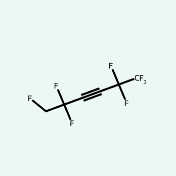 FCC(F)(F)C#CC(F)(F)C(F)(F)F